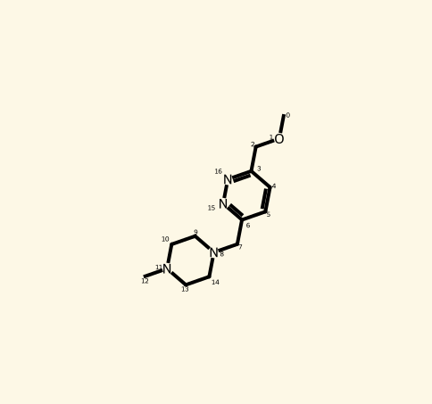 COCc1ccc(CN2CCN(C)CC2)nn1